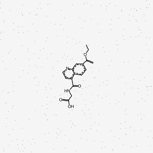 C=C(OCC)c1ccc2c(C(=O)NCC(=O)O)ccnc2c1